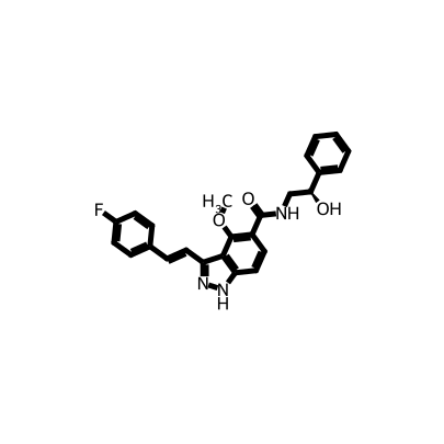 COc1c(C(=O)NC[C@H](O)c2ccccc2)ccc2[nH]nc(/C=C/c3ccc(F)cc3)c12